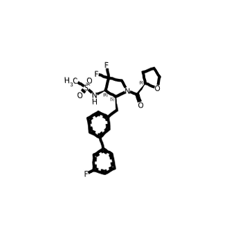 CS(=O)(=O)N[C@@H]1[C@H](Cc2cccc(-c3cccc(F)c3)c2)N(C(=O)[C@H]2CCCO2)CC1(F)F